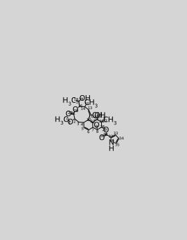 COC1CC2C=CC3C4OC2(C(C)=CC(C)C(C(C)O)OC1=O)C3C(O)C(C)C4OC(=O)c1ccc[nH]1